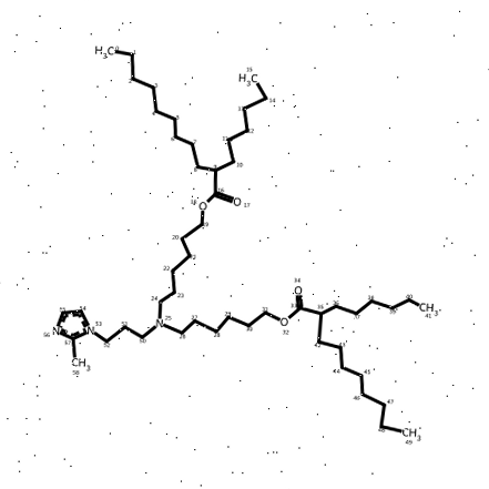 CCCCCCCCCC(CCCCCC)C(=O)OCCCCCCN(CCCCCCOC(=O)C(CCCCCC)CCCCCCCC)CCCn1ccnc1C